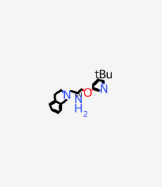 CC(C)(C)c1cncc(OC[C@@H](N)CN2CCc3ccccc3C2)c1